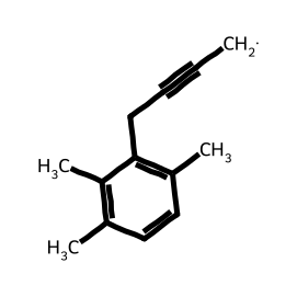 [CH2]C#CCc1c(C)ccc(C)c1C